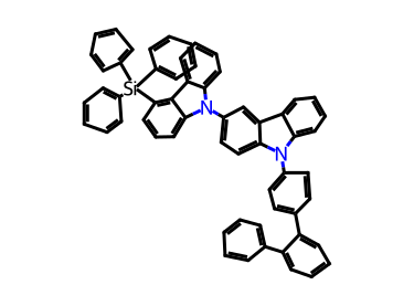 c1ccc(-c2ccccc2-c2ccc(-n3c4ccccc4c4cc(-n5c6ccccc6c6c([Si](c7ccccc7)(c7ccccc7)c7ccccc7)cccc65)ccc43)cc2)cc1